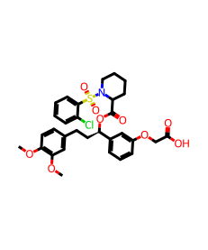 COc1ccc(CC[C@@H](OC(=O)C2CCCCN2S(=O)(=O)c2ccccc2Cl)c2cccc(OCC(=O)O)c2)cc1OC